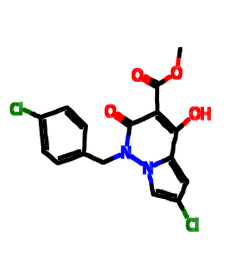 COC(=O)c1c(O)c2cc(Cl)cn2n(Cc2ccc(Cl)cc2)c1=O